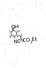 CCOC(=O)/C(C#N)=C/c1cccc(O)c1